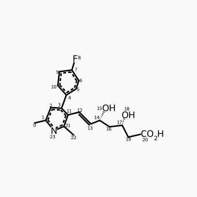 Cc1cc(-c2ccc(F)cc2)c(/C=C/[C@H](O)C[C@H](O)CC(=O)O)c(C)n1